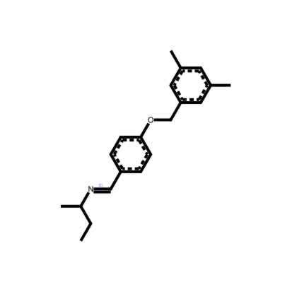 CCC(C)/N=C/c1ccc(OCc2cc(C)cc(C)c2)cc1